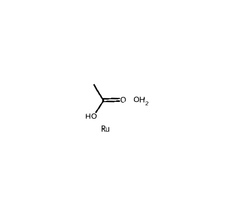 CC(=O)O.O.[Ru]